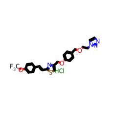 Cl.FC(F)(F)Oc1ccc(C=Cc2nc(COc3ccc(COCCn4ccnn4)cc3)cs2)cc1